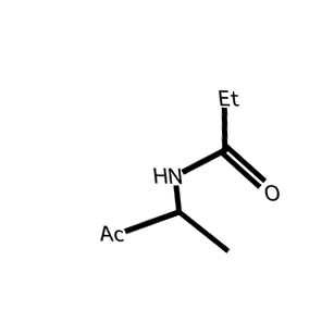 CCC(=O)NC(C)C(C)=O